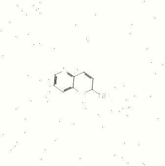 NC1C=Cc2ncccc2O1